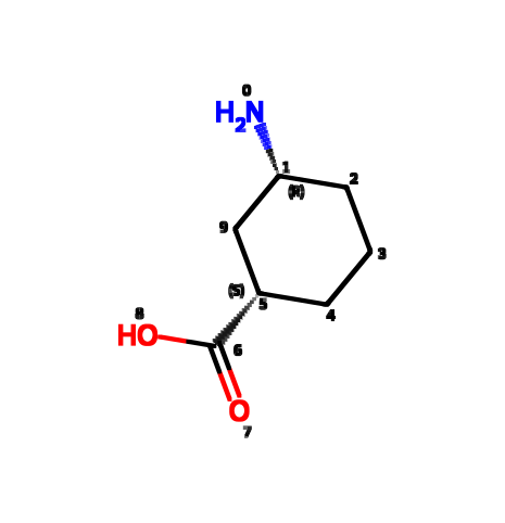 N[C@@H]1CCC[C@H](C(=O)O)C1